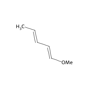 CC=C/C=C/OC